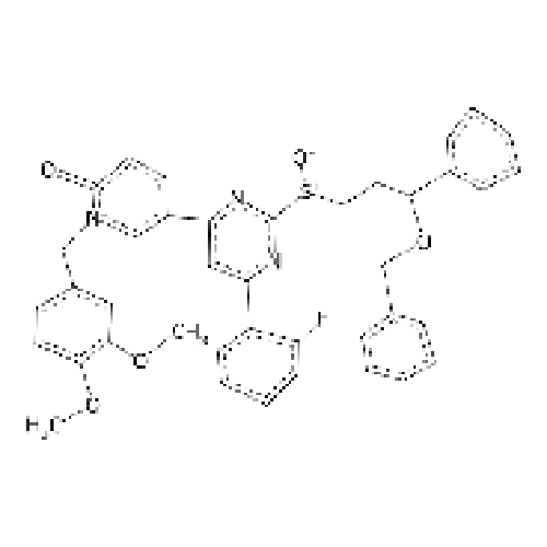 COc1ccc(Cn2cc(-c3cc(-c4ccccc4F)nc([S+]([O-])CCC(OCc4ccccc4)c4ccccc4)n3)ccc2=O)cc1OC